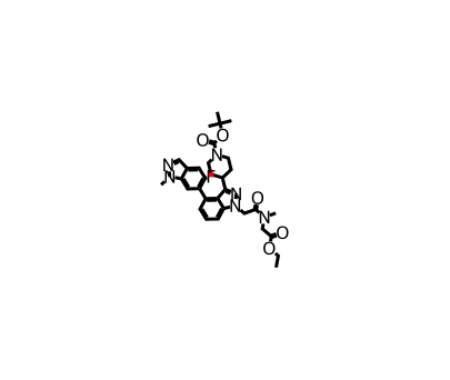 CCOC(=O)CN(C)C(=O)Cn1nc(C2CCN(C(=O)OC(C)(C)C)CC2)c2c(-c3cc4c(cnn4C)cc3F)cccc21